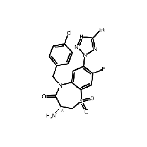 CCc1nnn(-c2cc3c(cc2F)S(=O)(=O)C[C@H](N)C(=O)N3Cc2ccc(Cl)cc2)n1